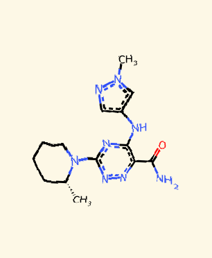 C[C@@H]1CCCCN1c1nnc(C(N)=O)c(Nc2cnn(C)c2)n1